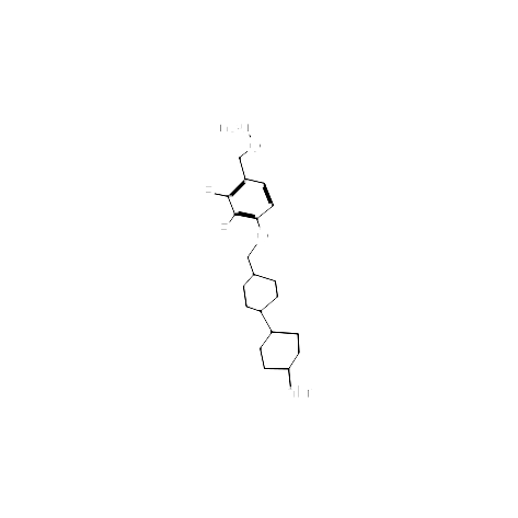 CCCCOCc1ccc(OCC2CCC(C3CCC(CCC)CC3)CC2)c(F)c1F